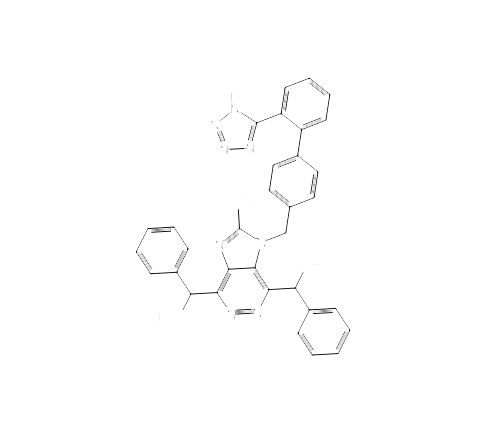 CC(C)c1nc2c(C(C)c3ccccc3)nnc(C(C)c3ccccc3)c2n1Cc1ccc(-c2ccccc2-c2nnn[nH]2)cc1